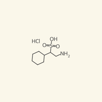 Cl.NCC(C1CCCCC1)S(=O)(=O)O